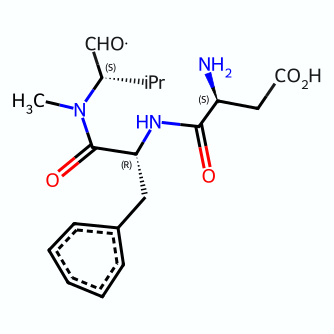 CC(C)[C@@H]([C]=O)N(C)C(=O)[C@@H](Cc1ccccc1)NC(=O)[C@@H](N)CC(=O)O